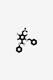 Cc1c(F)c(CN(C)C)c(F)c(OCc2ccccc2)c1C(=O)Oc1ccccc1